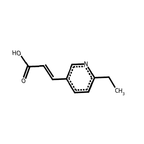 CCc1ccc(C=CC(=O)O)cn1